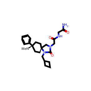 CN[C@]1(c2ccccc2)CC[C@@]2(CC1)CN(CC(=O)NCC(N)=O)C(=O)N2CC1CCC1